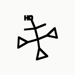 CC(C)(O)C(C1CC1)(C1CC1)C1CC1